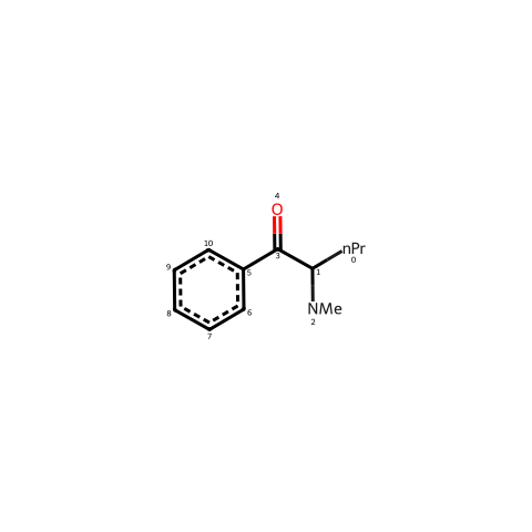 CCCC(NC)C(=O)c1ccccc1